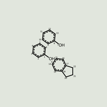 Oc1ccccc1.Oc1ccccc1.c1ccc2c(c1)CCC2